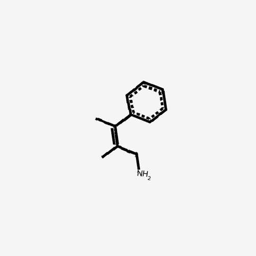 CC(CN)=C(C)c1ccccc1